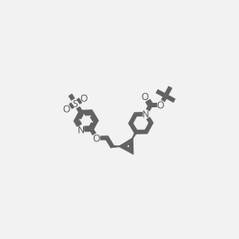 CC(C)(C)OC(=O)N1CCC([C@H]2C[C@H]2CCOc2ccc(S(C)(=O)=O)cn2)CC1